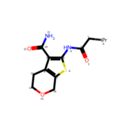 CC(C)CC(=O)Nc1sc2c(c1C(N)=O)CCOC2